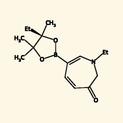 CCN1C=C(B2OC(C)(C)[C@@](C)(CC)O2)C=CC(=O)C1